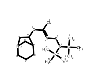 C[Si](C)(C)N(SN=C(C#N)OC1CN2CCCC1C2)[Si](C)(C)C